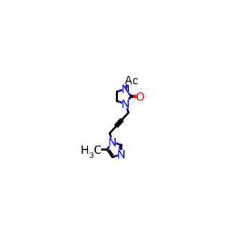 CC(=O)N1CCN(CC#CCn2cncc2C)C1=O